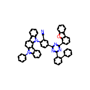 N#Cc1cc(-c2nc(-c3ccccc3-c3ccccc3)nc(-c3cccc4c3oc3ccccc34)n2)ccc1-n1c2ccccc2c2ccc3c(c4ccccc4n3-c3ccccc3)c21